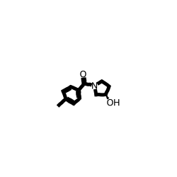 Cc1ccc(C(=O)N2CC[C@@H](O)C2)cc1